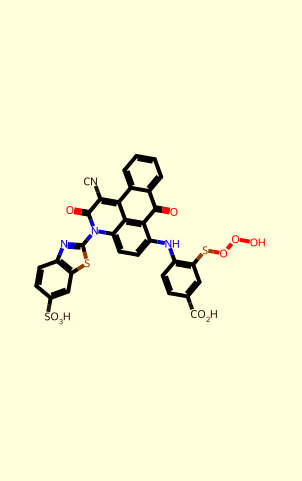 [C-]#[N+]c1c2c3c(c(Nc4ccc(C(=O)O)cc4SOOO)ccc3n(-c3nc4ccc(S(=O)(=O)O)cc4s3)c1=O)C(=O)c1ccccc1-2